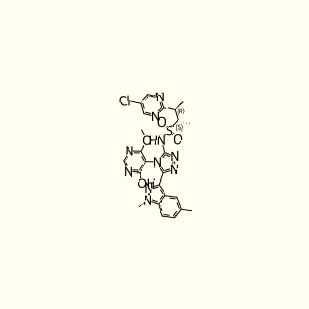 COc1ncnc(O)c1-n1c(NS(=O)(=O)[C@@H](C)[C@H](C)c2ncc(Cl)cn2)nnc1-c1nn(C)c2ccc(C)cc12